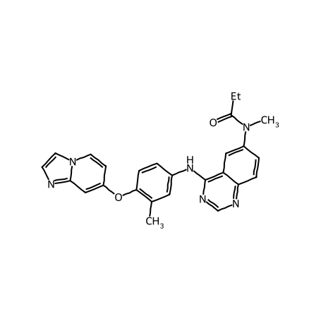 CCC(=O)N(C)c1ccc2ncnc(Nc3ccc(Oc4ccn5ccnc5c4)c(C)c3)c2c1